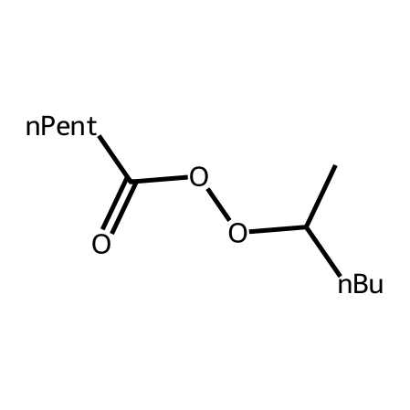 CCCCCC(=O)OOC(C)CCCC